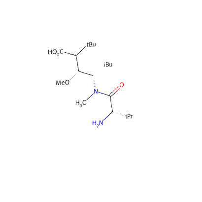 CC[C@H](C)[C@@H]([C@H](OC)C(C(=O)O)C(C)(C)C)N(C)C(=O)[C@@H](N)C(C)C